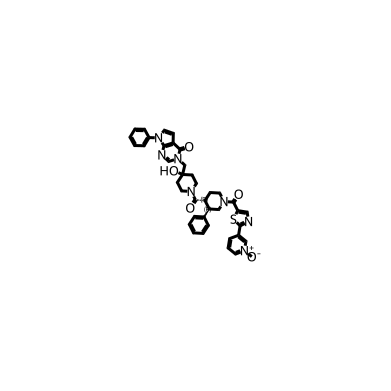 O=C(c1cnc(-c2ccc[n+]([O-])c2)s1)N1CC[C@@H](C(=O)N2CCC(O)(Cn3cnc4c(ccn4-c4ccccc4)c3=O)CC2)[C@H](c2ccccc2)C1